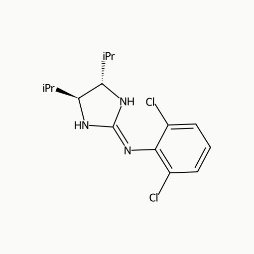 CC(C)[C@@H]1NC(=Nc2c(Cl)cccc2Cl)N[C@H]1C(C)C